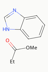 CCC(=O)OC.c1ccc2[nH]cnc2c1